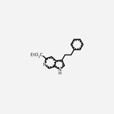 CCOC(=O)c1cc2c(CCc3ccccc3)c[nH]c2cn1